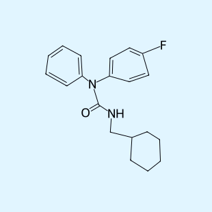 O=C(NCC1CCCCC1)N(c1ccccc1)c1ccc(F)cc1